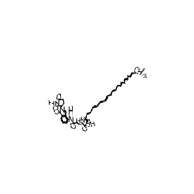 CCC=CCC=CCC=CCC=CCC=CCC=CCCC(=O)N[C@@H](CCC(=O)Nc1cccc2c1CN(C1CCC(=O)NC1=O)C2=O)C(=O)O